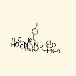 CC(C)(O)CNc1nc(-c2ccc(F)cc2)cn2c(-c3ccc(C(=O)NC4CC4)c(Cl)c3)cnc12